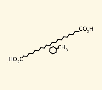 CC1CCCCC1.O=C(O)CCCCCCCCCCCCCCCCCCCCC(=O)O